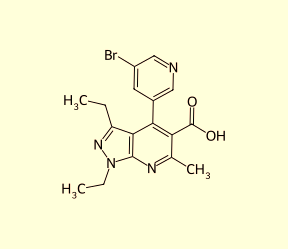 CCc1nn(CC)c2nc(C)c(C(=O)O)c(-c3cncc(Br)c3)c12